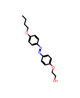 CCCCOc1ccc(/N=N/c2ccc(OCCO)cc2)cc1